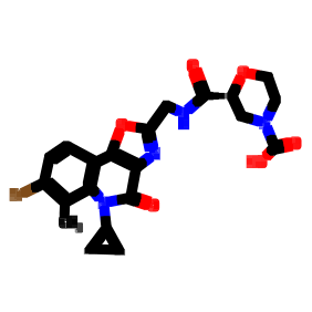 Cc1c(Br)ccc2c3oc(CNC(=O)[C@H]4CN(C(=O)O)CCO4)nc3c(=O)n(C3CC3)c12